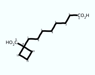 O=C(O)CCCCCCCC1(C(=O)O)CCC1